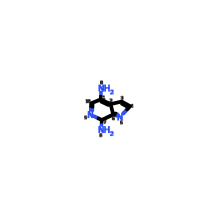 NC1=C2C=CN=C2C(N)N=C1